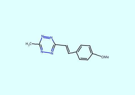 COc1ccc(/C=C/c2nnc(C)nn2)cc1